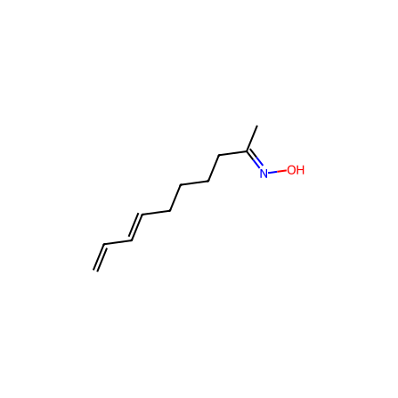 C=CC=CCCCCC(C)=NO